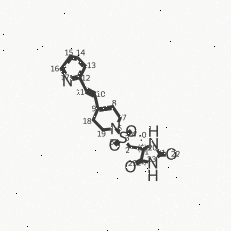 C[C@]1(CS(=O)(=O)N2CC=C(C#Cc3ccccn3)CC2)NC(=O)NC1=O